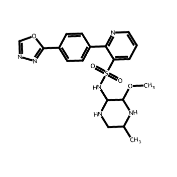 COC1NC(C)CNC1NS(=O)(=O)c1cccnc1-c1ccc(-c2nnco2)cc1